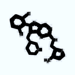 Cc1ccsc1CNc1ncc2nc(-c3c(Cl)cccc3Cl)n(C[C@@H]3CCCNC3)c2n1